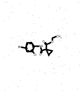 CCOC(=O)C1(C(=O)Nc2ccc(Br)cc2Cl)CC1